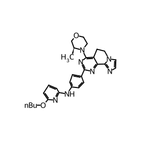 CCCCOc1cccc(Nc2ccc(-c3nc4c(c(N5CCOC[C@@H]5C)n3)CCn3ccnc3-4)cc2)n1